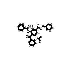 CC(=O)Oc1ccccc1C(=O)c1ccc(C(=O)OCc2ccccc2)cc1OC(N)c1ccccc1